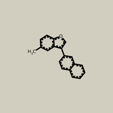 Cc1ccc2occ(-c3ccc4ccccc4c3)c2c1